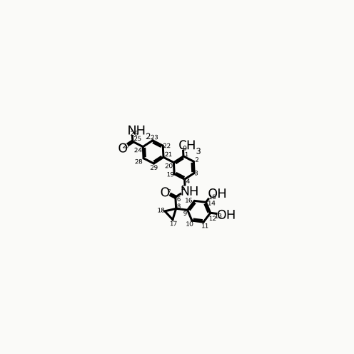 Cc1ccc(NC(=O)C2(c3ccc(O)c(O)c3)CC2)cc1-c1ccc(C(N)=O)cc1